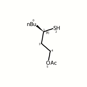 CCCC[C@@H](S)CCOC(C)=O